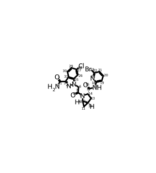 NC(=O)c1nn(CC(=O)N2[C@@H]3C[C@@H]3C[C@H]2C(=O)Nc2cccc(Br)n2)c2cc(Cl)ccc12